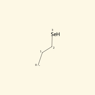 [CH2]CC[SeH]